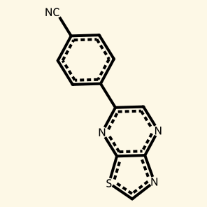 N#Cc1ccc(-c2cnc3ncsc3n2)cc1